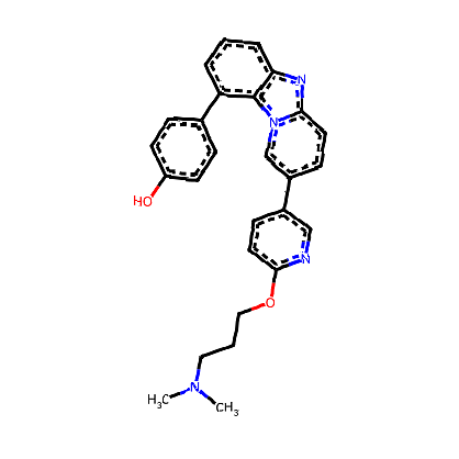 CN(C)CCCOc1ccc(-c2ccc3nc4cccc(-c5ccc(O)cc5)c4n3c2)cn1